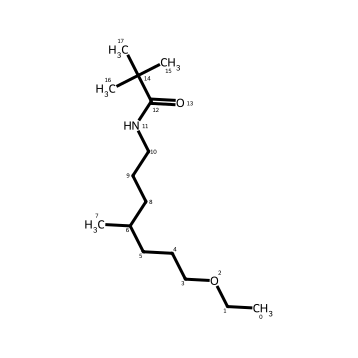 CCOCCCC(C)CCCNC(=O)C(C)(C)C